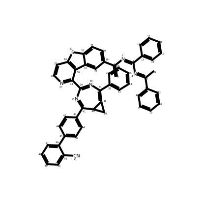 C=C(/N=C(\N=C(/C)c1ccccc1)c1ccccc1)c1ccc2sc3ccnc(C4=NC(c5ccccc5)=C5CC5C(c5ccc(-c6ccccc6C#N)cc5)=N4)c3c2c1